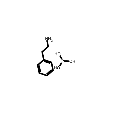 NCCc1ccccc1.OP(O)O